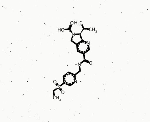 CCS(=O)(=O)c1ccc(CNC(=O)c2cnc3c(c2)CN(C(=O)O)[C@H]3C(C)C)nc1